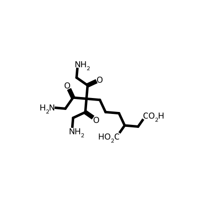 NCC(=O)C(CCCC(CC(=O)O)C(=O)O)(C(=O)CN)C(=O)CN